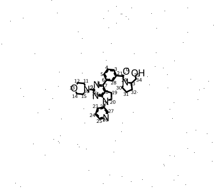 O=C(c1cccc(-c2nc(N3CCOCC3)nc3c2CCN3c2cccnc2)c1)N1CCCC1CO